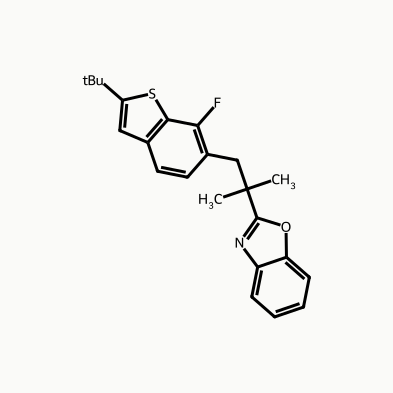 CC(C)(C)c1cc2ccc(CC(C)(C)c3nc4ccccc4o3)c(F)c2s1